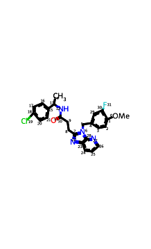 COc1ccc(Cn2c(CCC(=O)NC(C)c3ccc(Cl)cc3)nc3cccnc32)cc1F